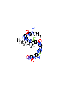 CNc1ccn(-c2ccnc3c2cc([C@H](C)N2CC=C(c4c(C)cc(C(=O)N5CCC(CN6CCN(c7ccc(N[C@H]8CCC(=O)NC8=O)cc7F)CC6)CC5)cc4F)CC2)n3C)c(=O)c1